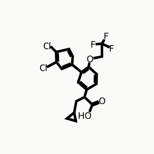 O=C(O)C(CC1CC1)c1ccc(OCC(F)(F)F)c(-c2ccc(Cl)c(Cl)c2)c1